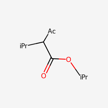 CC(=O)C(C(=O)OC(C)C)C(C)C